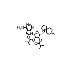 CC(C)C(=O)O[C@@H]1[C@H](OC(=O)C(C)C)[C@@H](CN2CCCC23CCN(C)CC3)O[C@H]1n1ccc2c(N)ncnc21